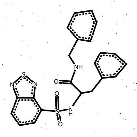 O=C(NCc1ccccc1)C(Cc1ccccc1)NS(=O)(=O)c1cccc2nsnc12